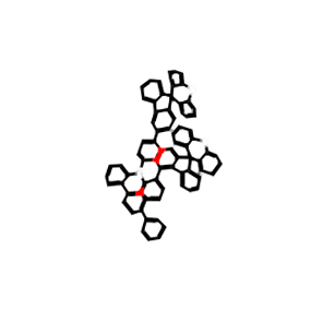 c1ccc(-c2ccc(-c3ccccc3N(c3ccc(-c4ccc5c(c4)-c4ccccc4C54c5ccccc5Oc5ccccc54)cc3)c3ccccc3-c3cccc4c3-c3ccccc3C43c4ccccc4Oc4ccccc43)cc2)cc1